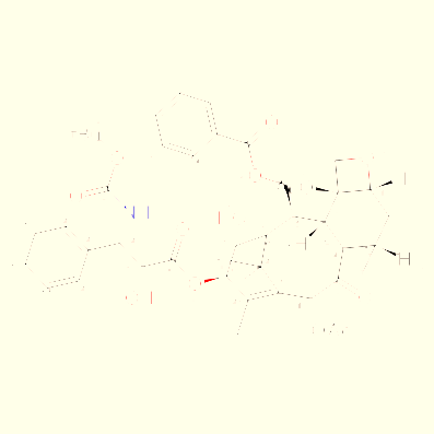 CC(=O)O[C@H]1C(=O)[C@]23C[C@H]2C[C@H]2OC[C@@]2(OC(C)=O)[C@H]3[C@H](COC(=O)c2ccccc2)[C@]2(O)C[C@H](OC(=O)[C@H](O)[C@@H](NC(=O)OC(C)(C)C)C3=CCCC=C3)C(C)=C1C2(C)C